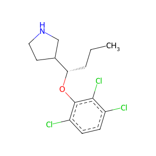 CCC[C@H](Oc1c(Cl)ccc(Cl)c1Cl)C1CCNC1